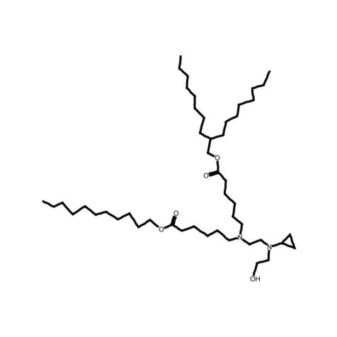 CCCCCCCCCCCOC(=O)CCCCCN(CCCCCC(=O)OCC(CCCCCCCC)CCCCCCCC)CCN(CCO)C1CC1